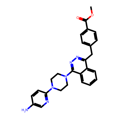 COC(=O)c1ccc(Cc2nnc(N3CCN(c4ccc(N)cn4)CC3)c3ccccc23)cc1